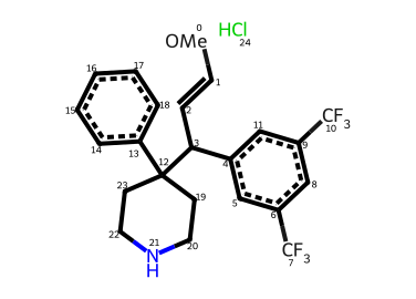 COC=CC(c1cc(C(F)(F)F)cc(C(F)(F)F)c1)C1(c2ccccc2)CCNCC1.Cl